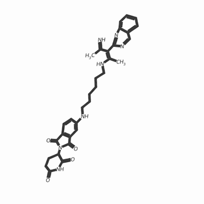 CC(=N)/C(=C(/C)NCCCCCCNc1ccc2c(c1)C(=O)N(C1CCC(=O)NC1=O)C2=O)c1ncc2ccccc2n1